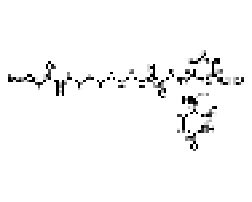 COCC(=O)NCCCCCCCCNC(=O)COc1cccc(C=O)c1CNC1CCC(=O)NC1=O